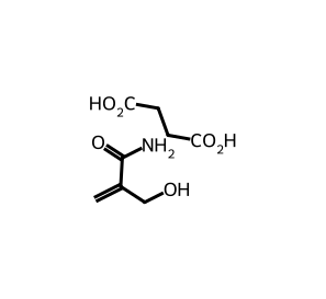 C=C(CO)C(N)=O.O=C(O)CCC(=O)O